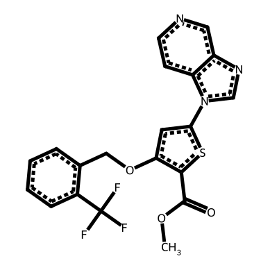 COC(=O)c1sc(-n2cnc3cnccc32)cc1OCc1ccccc1C(F)(F)F